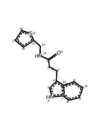 O=C(CCc1c[nH]c2ccccc12)NCc1cccs1